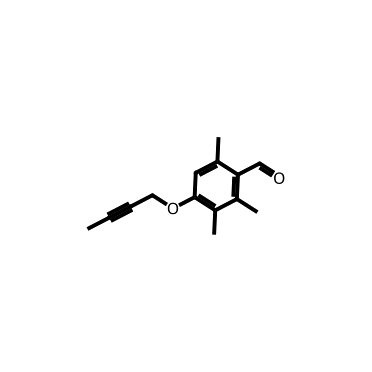 CC#CCOc1cc(C)c(C=O)c(C)c1C